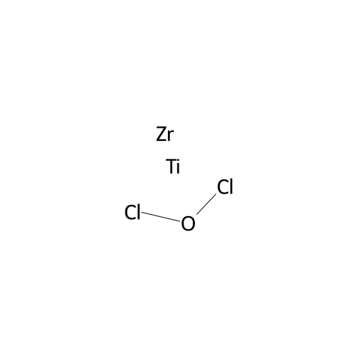 ClOCl.[Ti].[Zr]